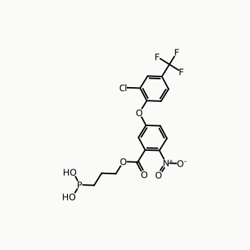 O=C(OCCCP(O)O)c1cc(Oc2ccc(C(F)(F)F)cc2Cl)ccc1[N+](=O)[O-]